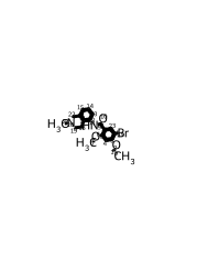 CCOc1cc(OC)c(C(=O)Nc2cccc3c2CCN(C)C3)cc1Br